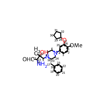 COc1ccc(N2CCN(CC(C)(O)C(N)C=O)[C@@H](Cc3ccccc3)C2)cc1OC1CCCC1